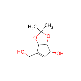 CC1(C)OC2C(CO)=C[C@H](O)C2O1